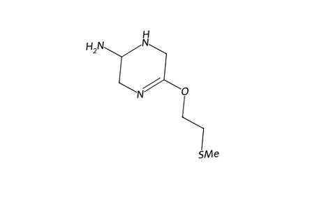 CSCCOC1=NCC(N)NC1